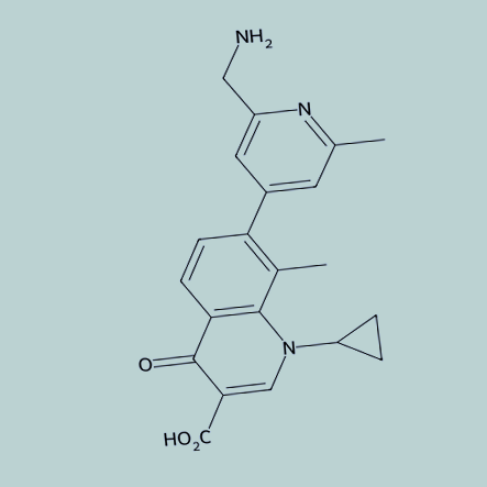 Cc1cc(-c2ccc3c(=O)c(C(=O)O)cn(C4CC4)c3c2C)cc(CN)n1